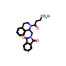 O=C(O)CCC(=O)N1CCc2ccccc2C1CN1C(=O)c2ccccc2C1=O